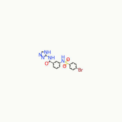 O=C(Nc1nnc[nH]1)c1cccc(NS(=O)(=O)c2ccc(Br)cc2)c1